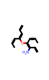 C=C/C=C(\C=C/C)OC(/C=C\C)=C(\N)C=C